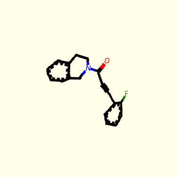 O=C(C#Cc1ccccc1F)N1CCc2ccccc2C1